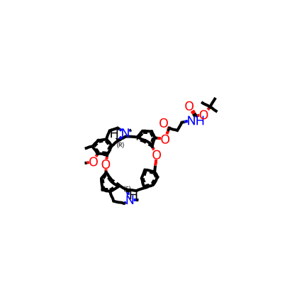 COc1c(C)cc2c3c1Oc1ccc4c(c1)[C@H](Cc1ccc(cc1)Oc1cc(ccc1OC(=O)CCNC(=O)OC(C)(C)C)C[C@H]3N(C)CC2)N(C)CC4